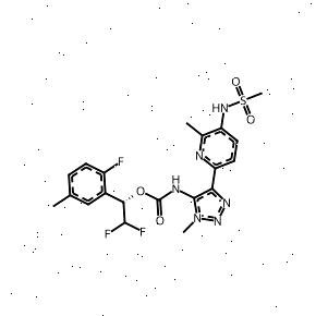 Cc1ccc(F)c([C@H](OC(=O)Nc2c(-c3ccc(NS(C)(=O)=O)c(C)n3)nnn2C)C(F)F)c1